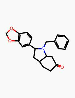 O=C1CCC2CC(c3ccc4c(c3)OCO4)N(Cc3ccccc3)C2C1